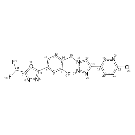 Fc1cc(-c2nnc(C(F)F)o2)ccc1Cn1cc(-c2ccc(Cl)nc2)nn1